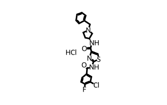 Cl.O=C(Nc1nc(C(=O)N[C@H]2CCN(Cc3ccccc3)C2)cs1)c1ccc(F)c(Cl)c1